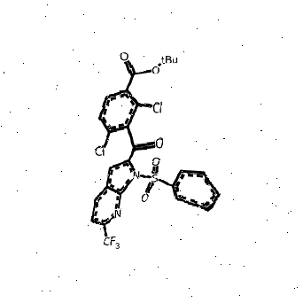 CC(C)(C)OC(=O)c1ccc(Cl)c(C(=O)c2cc3ccc(C(F)(F)F)nc3n2S(=O)(=O)c2ccccc2)c1Cl